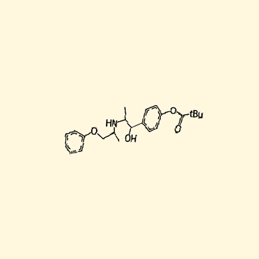 CC(COc1ccccc1)NC(C)C(O)c1ccc(OC(=O)C(C)(C)C)cc1